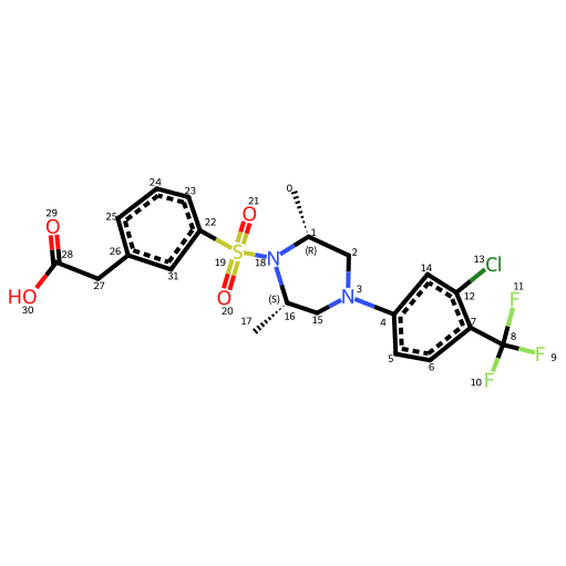 C[C@@H]1CN(c2ccc(C(F)(F)F)c(Cl)c2)C[C@H](C)N1S(=O)(=O)c1cccc(CC(=O)O)c1